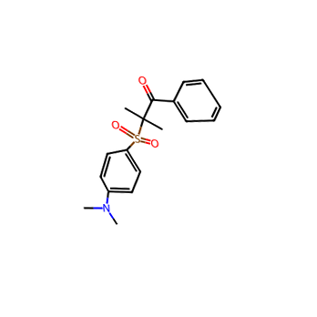 CN(C)c1ccc(S(=O)(=O)C(C)(C)C(=O)c2ccccc2)cc1